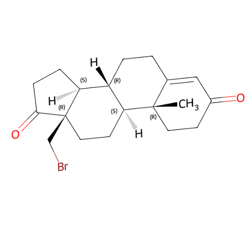 C[C@]12CCC(=O)C=C1CC[C@H]1[C@@H]3CCC(=O)[C@@]3(CBr)CC[C@@H]12